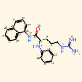 N=C(N)NCCC[C@H](Nc1ccccc1)C(=O)Nc1cccc2ccccc12